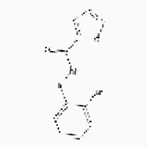 O=C(NSc1ccccc1Br)c1ccco1